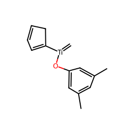 [CH2]=[Ti]([O]c1cc(C)cc(C)c1)[C]1=CC=CC1